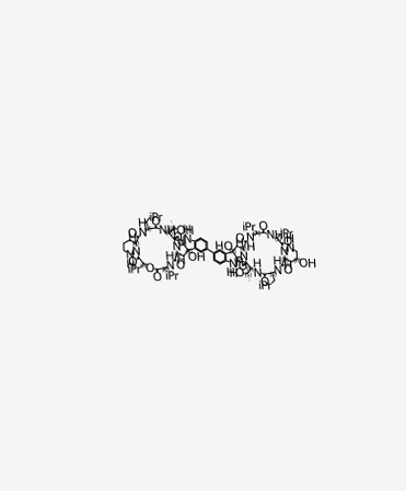 CC(C)C[C@@H]1NC(=O)[C@H]2C[C@@H](O)CNN2C(=O)[C@H](C(C)C)NC(=O)[C@@H](C(C)C)NC(=O)[C@@H]2C[C@@]3(O)c4cc(-c5ccc6c(c5)[C@]5(O)C[C@H]7C(=O)N[C@H](C(C)C)C(=O)O[C@@H](C(C)C)C(=O)N8NCCC[C@@H]8C(=O)N[C@@H](CC(C)C)C(=O)N[C@H]([C@H](C)O)C(=O)N7[C@@H]5N6)ccc4N[C@H]3N2C(=O)[C@@H]([C@H](C)O)NC1=O